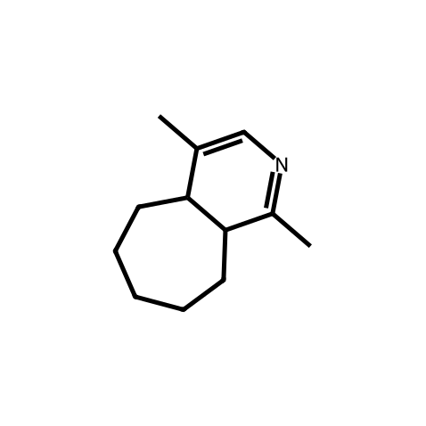 CC1=CN=C(C)C2CCCCCC12